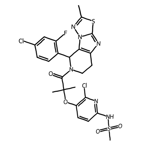 Cc1nn2c3c(nc2s1)CCN(C(=O)C(C)(C)Oc1ccc(NS(C)(=O)=O)nc1Cl)C3c1ccc(Cl)cc1F